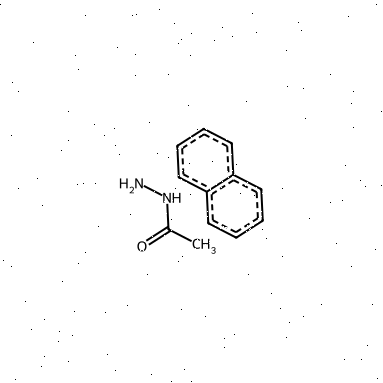 CC(=O)NN.c1ccc2ccccc2c1